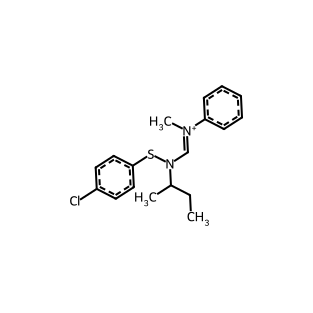 CCC(C)N(C=[N+](C)c1ccccc1)Sc1ccc(Cl)cc1